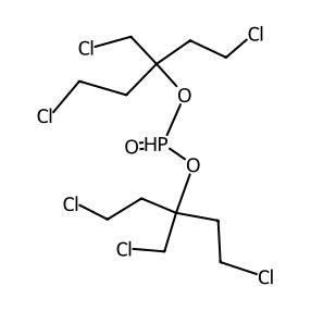 O=[PH](OC(CCl)(CCCl)CCCl)OC(CCl)(CCCl)CCCl